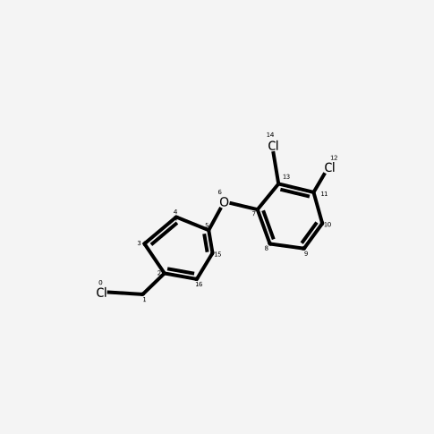 ClCc1c[c]c(Oc2cccc(Cl)c2Cl)cc1